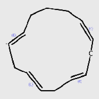 [C]1=C/CCC/C=C\C/C=C/C/C=C/C/1